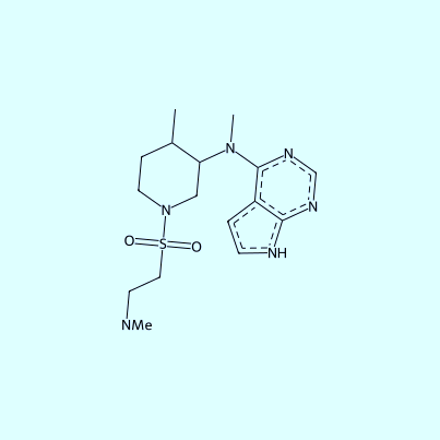 CNCCS(=O)(=O)N1CCC(C)C(N(C)c2ncnc3[nH]ccc23)C1